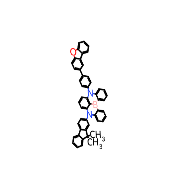 CC1(C)c2ccccc2-c2ccc(N3c4ccccc4B4c5ccccc5N(c5ccc(-c6ccc7oc8ccccc8c7c6)cc5)c5cccc3c54)cc21